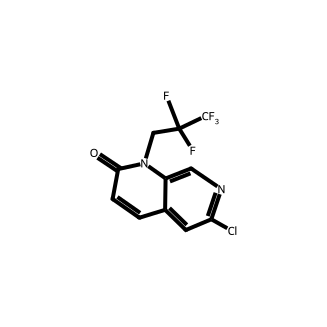 O=c1ccc2cc(Cl)ncc2n1CC(F)(F)C(F)(F)F